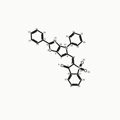 O=C1/C(=C\c2cc3oc(-c4ccccc4)nc3n2-c2ccccc2)S(=O)(=O)c2ccccc21